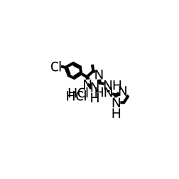 CC1N=C(NNC2=NCCN2)NN=C1c1ccc(Cl)cc1.Cl.Cl